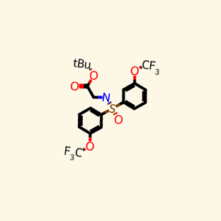 CC(C)(C)OC(=O)CN=S(=O)(c1cccc(OC(F)(F)F)c1)c1cccc(OC(F)(F)F)c1